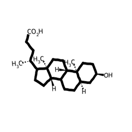 C[C@H](CCC(=O)O)C1CC[C@H]2C3CC[C@@H]4C[C@H](O)CC[C@]4(C)[C@H]3CC[C@]12C